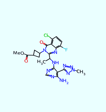 COC(=O)C1CC(n2c(C(C)Nc3ncnc(N)c3-c3nnn(C)n3)nc3c(F)ccc(Cl)c3c2=O)C1